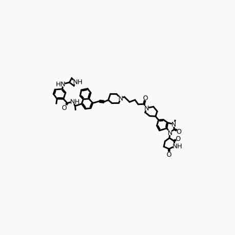 Cc1ccc(NC2CNC2)cc1C(=O)NC(C)c1ccc(C#CC2CCN(CCCCC(=O)N3CCC(c4ccc5c(c4)n(C)c(=O)n5C4CCC(=O)NC4=O)CC3)CC2)c2ccccc12